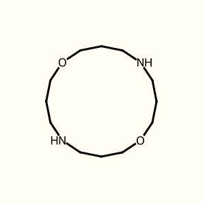 C1CNCCCOCCCNCCCOC1